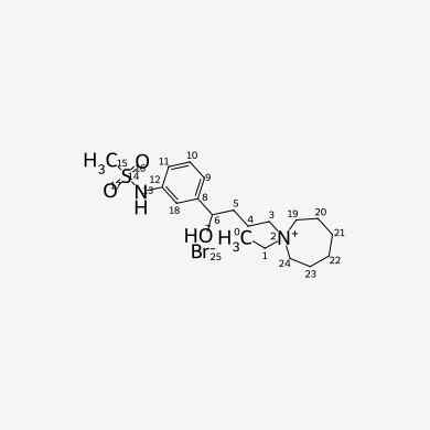 CC[N+]1(CCCC(O)c2cccc(NS(C)(=O)=O)c2)CCCCCC1.[Br-]